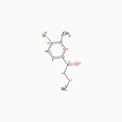 Cc1cc(C(=O)CCC#N)ccc1Br